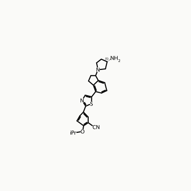 CC(C)Oc1ccc(-c2ncc(-c3cccc4c3CCC4N3CC[C@H](N)C3)s2)cc1C#N